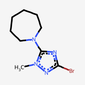 Cn1nc(Br)nc1N1CCCCCC1